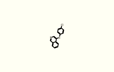 Clc1ccc(Sc2cncc3ccccc23)cc1